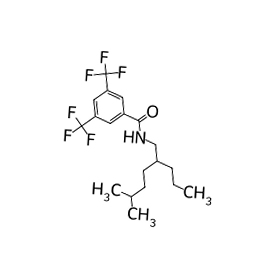 CCCC(CCC(C)C)CNC(=O)c1cc(C(F)(F)F)cc(C(F)(F)F)c1